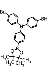 Bc1ccc(N(c2ccc(CCCC)cc2)c2ccc(B3OC(C)(C)C(C)(C)O3)cc2)cc1